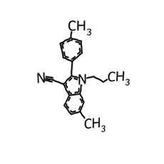 CCCn1c(-c2ccc(C)cc2)c(C#N)c2ccc(C)cc21